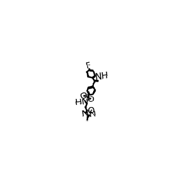 Cc1noc(CCNS(=O)(=O)c2ccc(-c3c[nH]c4cc(F)ccc34)cc2)n1